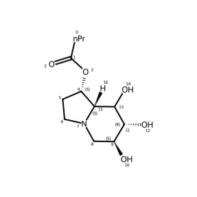 CCCC(=O)O[C@H]1CCN2C[C@H](O)[C@@H](O)C(O)[C@@H]12